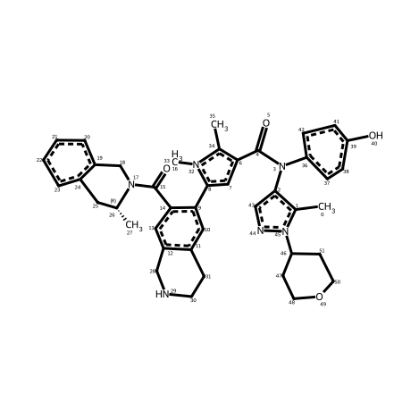 Cc1c(N(C(=O)c2cc(-c3cc4c(cc3C(=O)N3Cc5ccccc5C[C@H]3C)CNCC4)n(C)c2C)c2ccc(O)cc2)cnn1C1CCOCC1